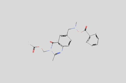 Cc1nc2ccc(CN(C)OC(=O)c3ccccc3)cc2c(=O)n1COC(=O)C(C)(C)C